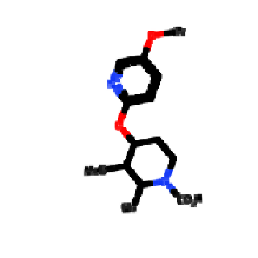 COC1C(Oc2ccc(OC(C)C)cn2)CCN(C(=O)O)C1C(C)(C)C